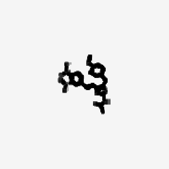 CSc1ccc(Cc2sc(NC(C)=O)nc2/C=C/c2ccc([N+](=O)[O-])c([N+](=O)[O-])c2)cc1